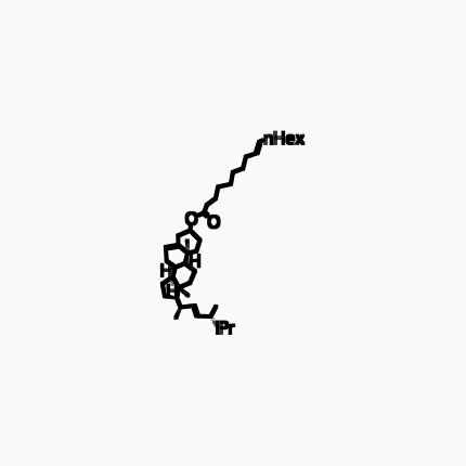 CCCCCCC=CCCCCCCCC(=O)OC1CC[C@@]2(C)C(=CC[C@H]3[C@@H]4CC[C@H]([C@H](C)C=C[C@H](C)C(C)C)[C@@]4(C)CC[C@@H]32)C1